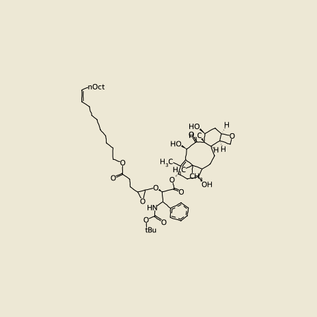 CCCCCCCC/C=C\CCCCCCCCOC(=O)CCC1OC1O[C@@H](C(=O)O[C@H]1CC(O)C2CC[C@@H]3[C@@H]4CO[C@@H]4C[C@H](O)[C@@]3(C)C(=O)[C@H](O)C(=C1C)C2(C)C)C(NC(=O)OC(C)(C)C)c1ccccc1